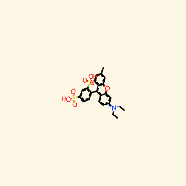 CC[N+](CC)=c1ccc2c(-c3ccc(S(=O)(=O)O)cc3S(=O)(=O)O)c3ccc(C)cc3oc-2c1